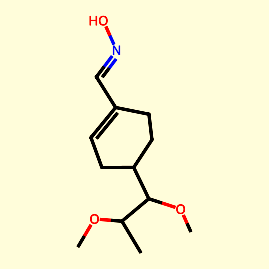 COC(C)C(OC)C1CC=C(C=NO)CC1